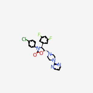 O=C1O[C@@H](CN2CCN(c3ncccn3)CC2)[C@H](c2cc(F)cc(F)c2)N1c1ccc(Cl)cc1